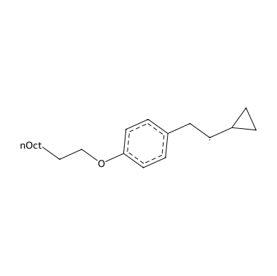 CCCCCCCCCCOc1ccc(C[CH]C2CC2)cc1